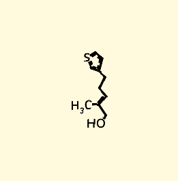 C/C(=C\CCc1ccsc1)CO